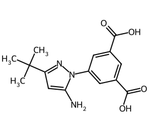 CC(C)(C)c1cc(N)n(-c2cc(C(=O)O)cc(C(=O)O)c2)n1